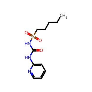 CCCCCS(=O)(=O)NC(=O)Nc1ccccn1